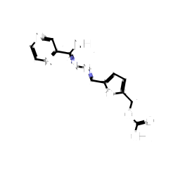 CC(=O)OCc1ccc(/C=N/N=C(\N)c2cnccn2)o1